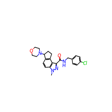 Cn1nc(C(=O)NCc2ccc(Cl)cc2)c2c3c(ccc21)C(N1CCOCC1)CC3